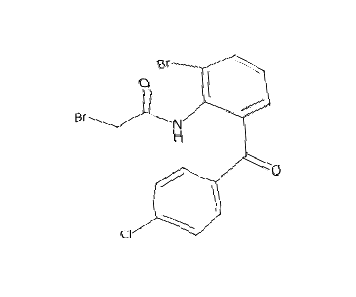 O=C(CBr)Nc1c(Br)cccc1C(=O)c1ccc(Cl)cc1